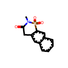 CN1C(=O)Cc2cc3ccccc3cc2S1(=O)=O